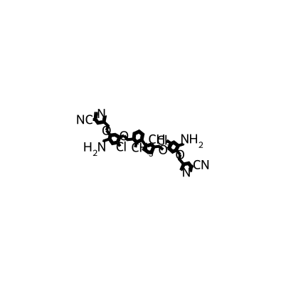 Cc1c(COc2cc(OCc3cncc(C#N)c3)c(CN)cc2Cl)cccc1-c1cccc(COc2cc(OCc3cncc(C#N)c3)c(CN)cc2Cl)c1C